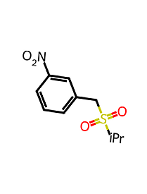 CC(C)S(=O)(=O)Cc1cccc([N+](=O)[O-])c1